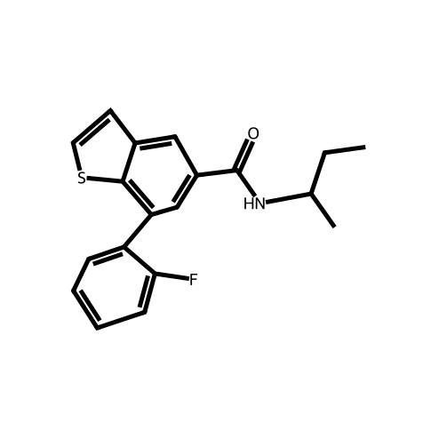 CCC(C)NC(=O)c1cc(-c2ccccc2F)c2sccc2c1